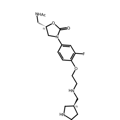 CC(=O)NC[C@H]1CN(c2ccc(OCCNC[C@H]3CCNC3)c(F)c2)C(=O)O1